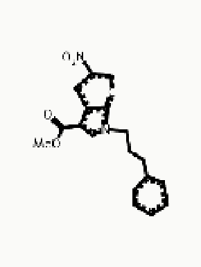 COC(=O)c1cn(CCCc2ccccc2)c2ccc([N+](=O)[O-])cc12